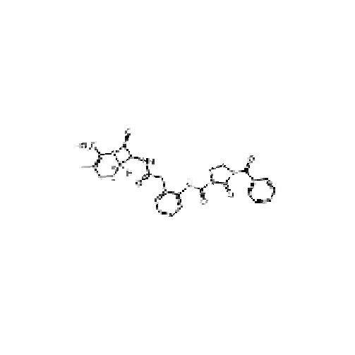 CC1=C(C(=O)O)N2C(=O)C(NC(=O)Cc3ccccc3NC(=O)N3CCN(C(=O)c4ccccc4)C3=O)[C@H]2SC1